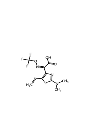 C=Nc1sc(N(C)C)nc1C(=NOC(F)(F)F)C(=O)O